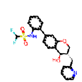 O=S(=O)(Nc1ccccc1-c1ccc2c(c1)OC[C@H](Cc1ccccn1)[C@H]2O)C(F)F